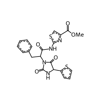 COC(=O)c1csc(NC(=O)C(Cc2ccccc2)N2C(=O)NC(c3cccs3)C2=O)n1